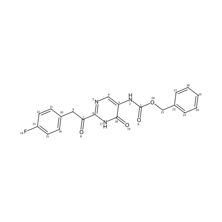 O=C(Nc1cnc(C(=O)Cc2ccc(F)cc2)[nH]c1=O)OCc1ccccc1